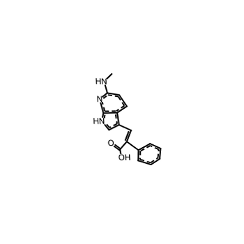 CNc1ccc2c(C=C(C(=O)O)c3ccccc3)c[nH]c2n1